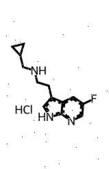 Cl.Fc1cnc2[nH]cc(CCNCC3CC3)c2c1